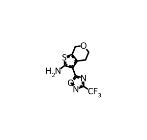 Nc1sc2c(c1-c1nc(C(F)(F)F)no1)CCOC2